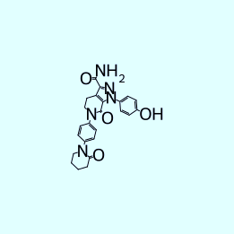 NC(=O)c1nn(-c2ccc(O)cc2)c2c1CCN(c1ccc(N3CCCCC3=O)cc1)C2=O